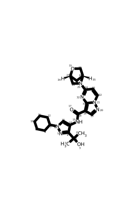 CC(C)(O)c1nn(C2CCCCC2)cc1NC(=O)c1cnn2ccc(N3C[C@H]4C[C@@H]3CO4)nc12